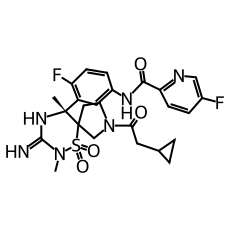 CN1C(=N)N[C@](C)(c2cc(NC(=O)c3ccc(F)cn3)ccc2F)C2(CCN(C(=O)CC3CC3)C2)S1(=O)=O